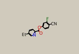 CCc1ccc(C(=O)Oc2ccc(C#N)c(F)c2)nc1